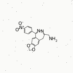 NCC1=NN=C(c2ccc([N+](=O)[O-])cc2)c2cc3c(cc2C1)OCO3